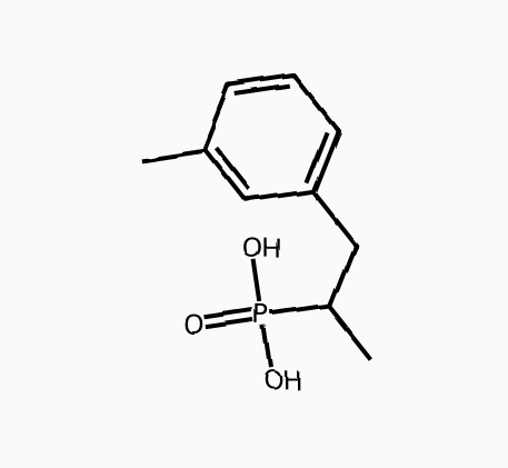 Cc1cccc(CC(C)P(=O)(O)O)c1